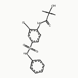 CC(C)(O)C(=O)Nc1ccc(S(=O)(=O)Nc2ccccc2)cc1Cl